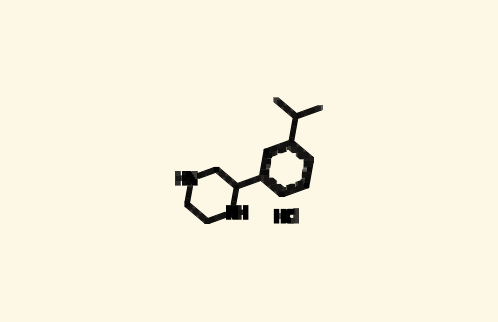 CC(C)c1cccc(C2CNCCN2)c1.Cl